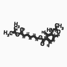 CC(=O)Nc1c(I)cc(I)c(C(=O)OCCCCCC(=O)OC(C)C)c1I